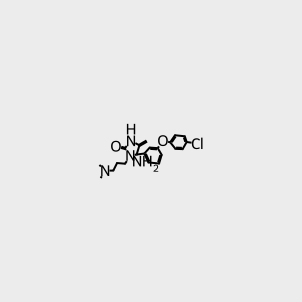 C=C1NC(=O)N(CCCN(C)C)C1(N)c1cccc(Oc2ccc(Cl)cc2)c1